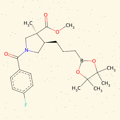 COC(=O)[C@]1(C)CN(C(=O)c2ccc(F)cc2)C[C@@H]1CCCB1OC(C)(C)C(C)(C)O1